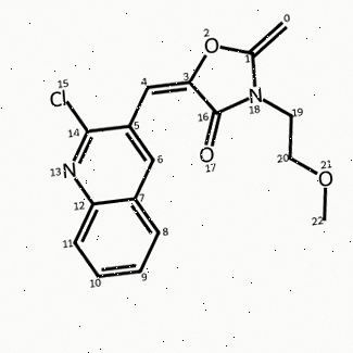 C=c1o/c(=C/c2cc3ccccc3nc2Cl)c(=O)n1CCOC